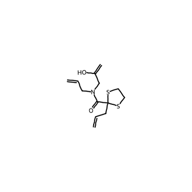 C=CCN(CC(=C)O)C(=O)C1(CC=C)SCCS1